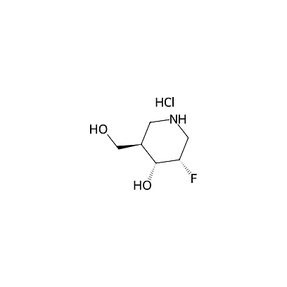 Cl.OC[C@H]1CNC[C@H](F)[C@@H]1O